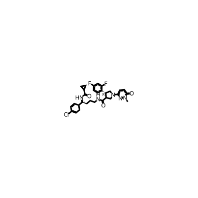 Cn1nc(N2CC(C(=O)NCCC[C@H](NC(=O)C3CC3)C3C=CC(Cl)=CC3)[C@H](c3ccc(F)cc3F)C2)ccc1=O